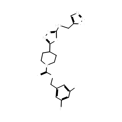 O=C(OCc1cc(F)cc(F)c1)N1CCC(c2nnc(NCc3cnn[nH]3)o2)CC1